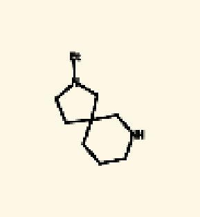 CCN1CCC2(CCCNC2)C1